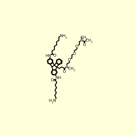 CC(=O)N(C)CCOCCOCCOCCN(C)C(=O)CCC12c3c#cccc3C13c1cc(NC(=O)CCCCCCCN)ccc1C3c1ccc(NC(=O)CCCCCCCN)cc12